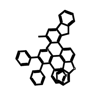 Cc1cc2c(c(-c3ccc4oc5ccccc5c4c3-c3ncc(-c4ccccc4)c(-c4ccccc4)c3-c3ccnnn3)c1C)Cc1ccccc1-2